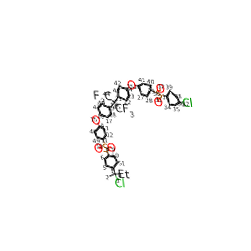 CCC(C)(Cl)c1ccc(S(=O)(=O)c2ccc(Oc3ccc(C(c4ccc(Oc5ccc(S(=O)(=O)c6ccc(Cl)cc6)cc5)cc4)(C(F)(F)F)C(F)(F)F)cc3)cc2)cc1